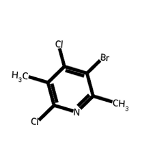 Cc1nc(Cl)c(C)c(Cl)c1Br